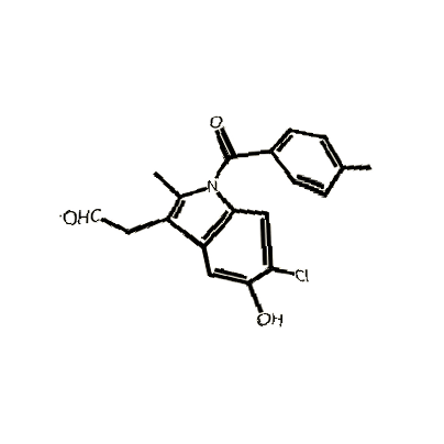 Cc1ccc(C(=O)n2c(C)c(C[C]=O)c3cc(O)c(Cl)cc32)cc1